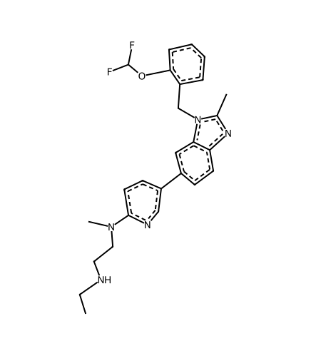 CCNCCN(C)c1ccc(-c2ccc3nc(C)n(Cc4ccccc4OC(F)F)c3c2)cn1